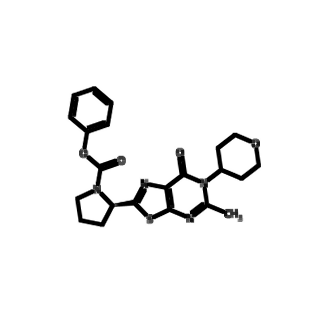 Cc1nc2sc([C@H]3CCCN3C(=O)Oc3ccccc3)nc2c(=O)n1C1CCOCC1